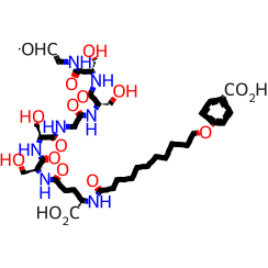 O=[C]CNC(=O)[C@H](CO)NC(=O)[C@H](CO)NC(=O)CNC(=O)[C@H](CO)NC(=O)[C@H](CO)NC(=O)CC[C@H](NC(=O)CCCCCCCCCCOc1ccc(C(=O)O)cc1)C(=O)O